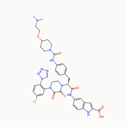 CN(C)CCOC1CCN(C(=O)Nc2ccc(C[C@@H](C(=O)Nc3ccc4[nH]c(C(=O)O)cc4c3)N3CCN(c4cc(Cl)ccc4-n4cnnn4)C(=O)C3=O)cc2)CC1